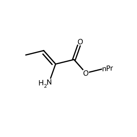 CC=C(N)C(=O)OCCC